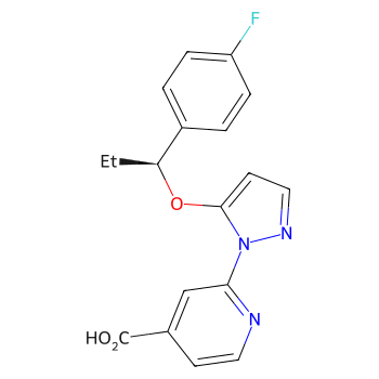 CC[C@H](Oc1ccnn1-c1cc(C(=O)O)ccn1)c1ccc(F)cc1